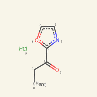 CCCCCCC(=O)c1ncco1.Cl